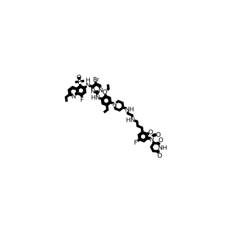 CCOc1cc(N2CCC(NCCNCCCc3cc(F)cc4c3oc(=O)n4C3CCC(=O)NC3=O)CC2)c(CC)cc1Nc1ncc(Br)c(Nc2cc(F)c3nc(CC)ccc3c2P(C)(C)=O)n1